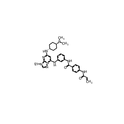 C=CC(=O)Nc1ccc(C(=O)Nc2cccc(Nc3cc(N[C@H]4CC[C@H](N(C)C)CC4)nc4n3nc[n+]4CC)c2)cc1